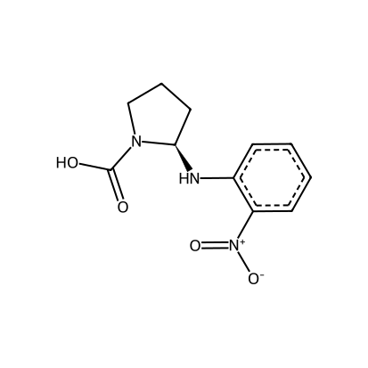 O=C(O)N1CCC[C@H]1Nc1ccccc1[N+](=O)[O-]